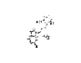 Cl.Cl.O[C@H]1CCCN[C@@H]1CCCn1cnc2cnc(Br)cc21